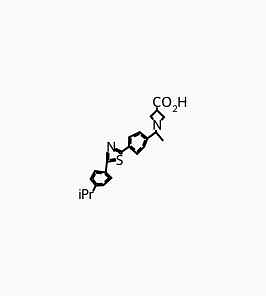 CC(C)c1ccc(-c2cnc(-c3ccc(C(C)N4CC(C(=O)O)C4)cc3)s2)cc1